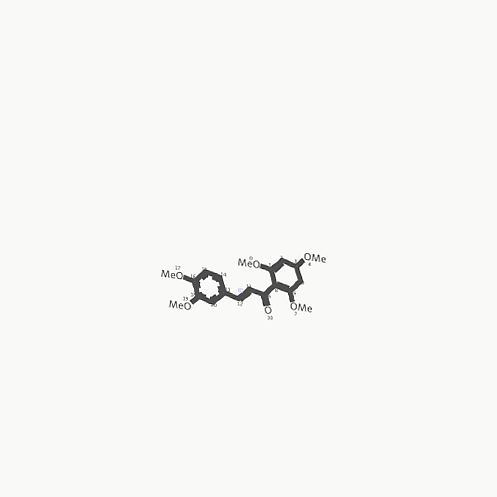 COC1=CC(OC)CC(OC)=C1C(=O)/C=C/c1ccc(OC)c(OC)c1